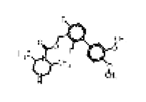 COc1ccc(-c2ccc(F)c(COC(=O)N3C(C)CNCC3C)c2F)cc1OC